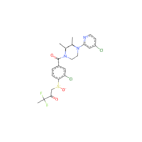 CC1C(C)N(c2cc(Cl)ccn2)CCN1C(=O)c1ccc([S+]([O-])CC(=O)C(C)(F)F)c(Cl)c1